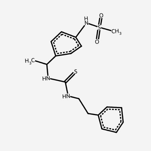 CC(NC(=S)NCCc1ccccc1)c1ccc(NS(C)(=O)=O)cc1